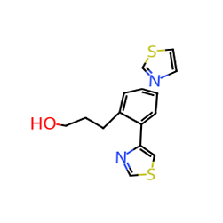 OCCCc1ccccc1-c1cscn1.c1cscn1